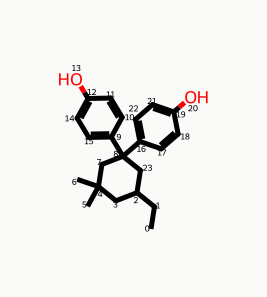 CCC1CC(C)(C)CC(c2ccc(O)cc2)(c2ccc(O)cc2)C1